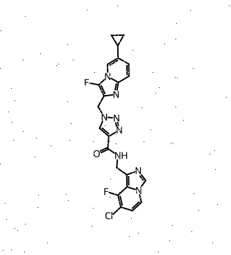 O=C(NCc1ncn2ccc(Cl)c(F)c12)c1cn(Cc2nc3ccc(C4CC4)cn3c2F)nn1